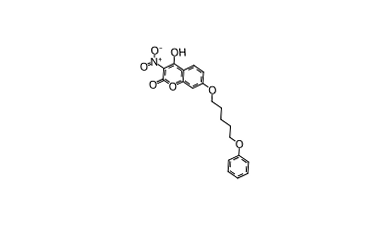 O=c1oc2cc(OCCCCCOc3ccccc3)ccc2c(O)c1[N+](=O)[O-]